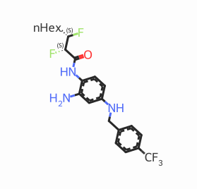 CCCCCC[C@H](F)[C@@H](F)C(=O)Nc1ccc(NCc2ccc(C(F)(F)F)cc2)cc1N